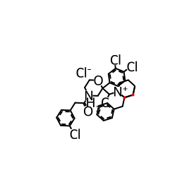 CC(C1(c2ccc(Cl)c(Cl)c2)CN(C(=O)Cc2cccc(Cl)c2)CCO1)[N+]12CCC(CC1)CC2Cc1ccccc1.[Cl-]